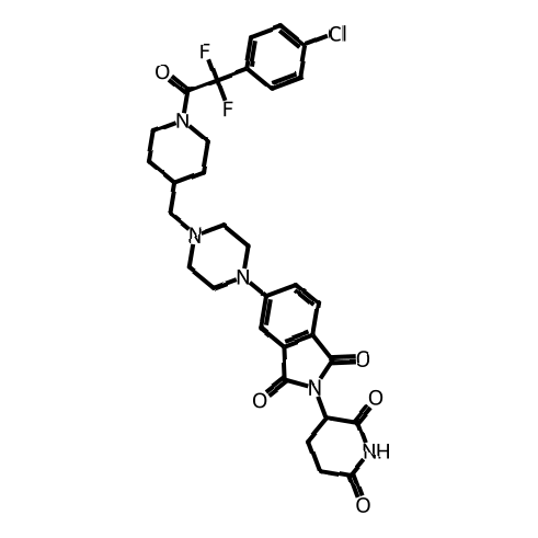 O=C1CCC(N2C(=O)c3ccc(N4CCN(CC5CCN(C(=O)C(F)(F)c6ccc(Cl)cc6)CC5)CC4)cc3C2=O)C(=O)N1